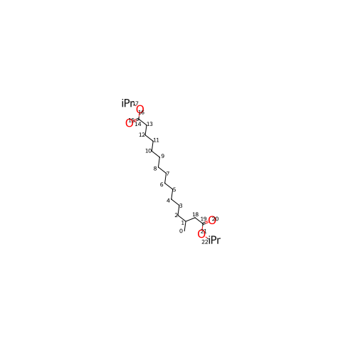 CC(CCCCCCCCCCCCC(=O)OC(C)C)CC(=O)OC(C)C